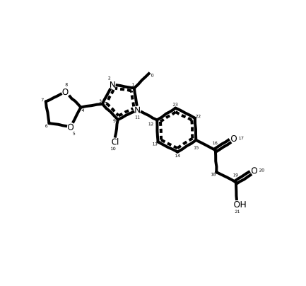 Cc1nc(C2OCCO2)c(Cl)n1-c1ccc(C(=O)CC(=O)O)cc1